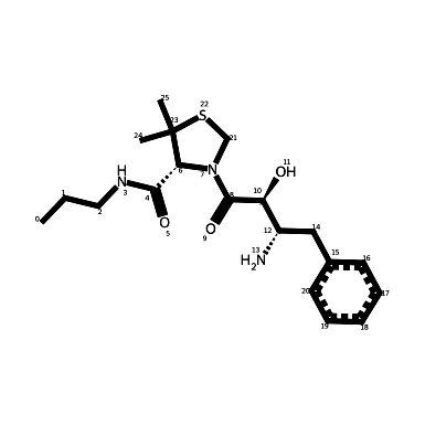 CCCNC(=O)[C@H]1N(C(=O)[C@@H](O)[C@@H](N)Cc2ccccc2)CSC1(C)C